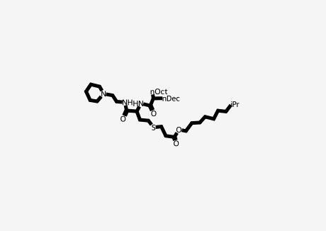 CCCCCCCCCCC(CCCCCCCC)C(=O)NC(CCSCCC(=O)OCCCCCCCC(C)C)C(=O)NCCN1CCCCC1